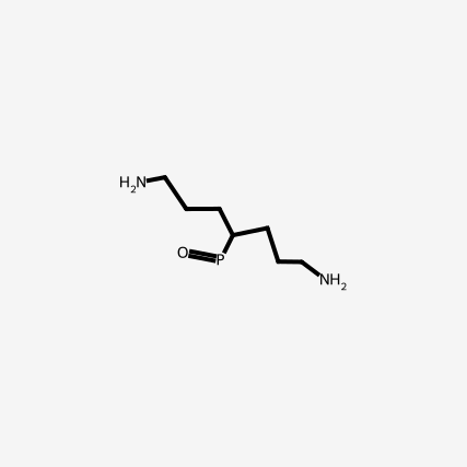 NCCCC(CCCN)P=O